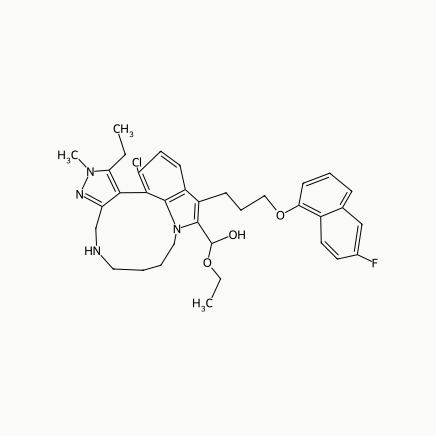 CCOC(O)c1c(CCCOc2cccc3cc(F)ccc23)c2ccc(Cl)c3c2n1CCCCNCc1nn(C)c(CC)c1-3